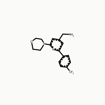 NCc1cc(-c2ccc(C(F)(F)F)cc2)nc(N2CCOCC2)c1